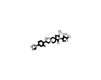 CC1=C(N2C(=O)C3(CCN(C[C@H](O)c4ccc(-n5cnnn5)cc4F)CC3)CC2C)COC1=O